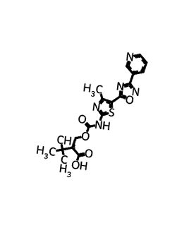 Cc1nc(NC(=O)OCC(C(=O)O)C(C)(C)C)sc1-c1nc(-c2cccnc2)no1